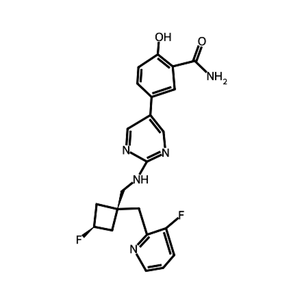 NC(=O)c1cc(-c2cnc(NC[C@]3(Cc4ncccc4F)C[C@H](F)C3)nc2)ccc1O